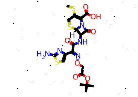 CSC1=C(C(=O)O)N2C(=O)C(NC(=O)C(=NOCC(=O)OC(C)(C)C)c3csc(N)n3)[C@@H]2SC1